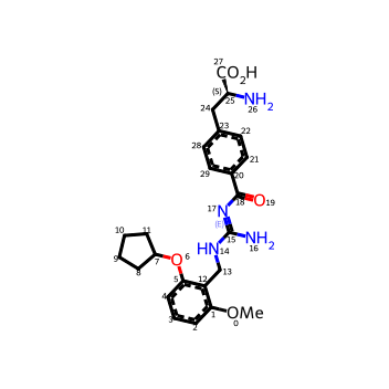 COc1cccc(OC2CCCC2)c1CN/C(N)=N/C(=O)c1ccc(C[C@H](N)C(=O)O)cc1